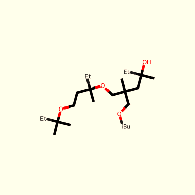 CCC(C)OCC(C)(COC(C)(CC)CCOC(C)(C)CC)CC(C)(O)CC